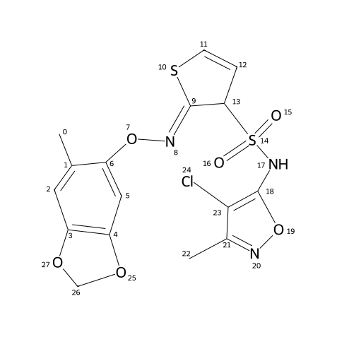 Cc1cc2c(cc1ON=C1SC=CC1S(=O)(=O)Nc1onc(C)c1Cl)OCO2